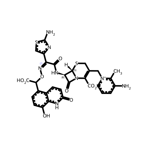 Cc1c(N)ccc[n+]1CC1=C(C(=O)O)N2C(=O)[C@@H](NC(=O)/C(=N\OC(C(=O)O)c3ccc(O)c4[nH]c(=O)ccc34)c3csc(N)n3)[C@@H]2SC1